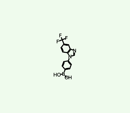 OB(O)c1ccc(-n2cnc3cc(C(F)(F)F)ccc32)cc1